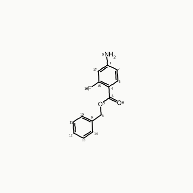 Nc1ccc(C(=O)OCc2ccccc2)c(F)c1